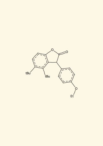 CCOc1ccc(C2C(=O)Oc3ccc(C(C)(C)C)c(C(C)(C)C)c32)cc1